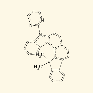 CC1(C)c2ccccc2-c2ccc3ccc4c(c5ccccc5n4-c4ncccn4)c3c21